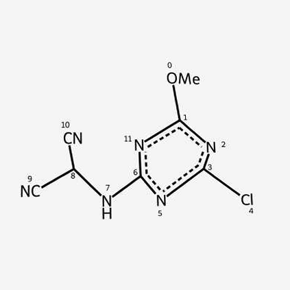 COc1nc(Cl)nc(NC(C#N)C#N)n1